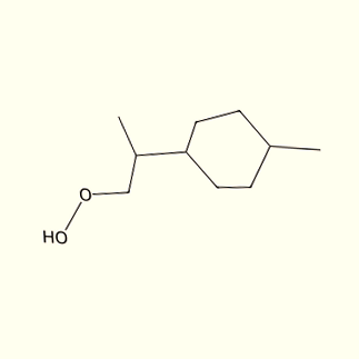 CC1CCC(C(C)COO)CC1